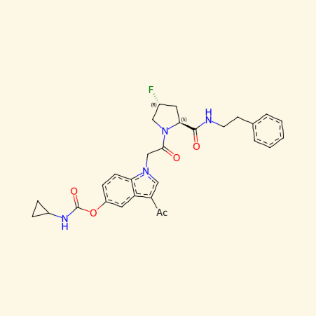 CC(=O)c1cn(CC(=O)N2C[C@H](F)C[C@H]2C(=O)NCCc2ccccc2)c2ccc(OC(=O)NC3CC3)cc12